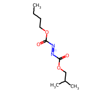 CCCCOC(=O)/N=N/C(=O)OCC(C)C